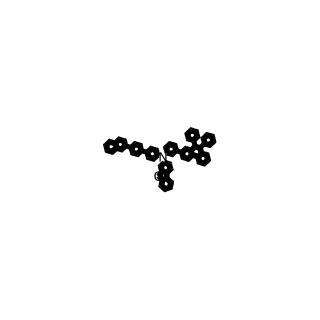 c1ccc(-c2c(-c3ccccc3)c3cc(-c4cccc(N(c5ccc(-c6ccc(-c7ccc8ccccc8c7)cc6)cc5)c5ccc6c(c5)oc5ccccc56)c4)ccc3c3ccccc23)cc1